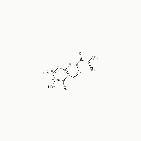 C=C(C)C(=O)c1ccc2c(c1)cc(N)c(O)[n+]2[O-]